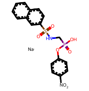 O=[N+]([O-])c1ccc(OP(=O)(O)CNS(=O)(=O)c2ccc3ccccc3c2)cc1.[Na]